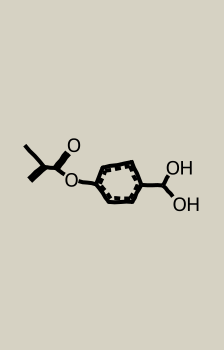 C=C(C)C(=O)Oc1ccc(C(O)O)cc1